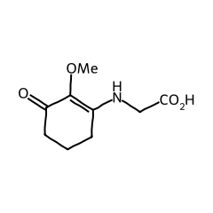 COC1=C(NCC(=O)O)CCCC1=O